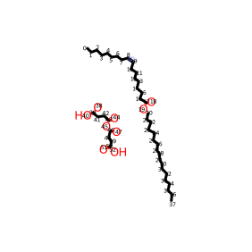 CCCCCCCC/C=C\CCCCCCCC(=O)OCCCCCCCCCCCCCCCCCC.O=C(O)CCC(=O)OC(=O)CCC(=O)O